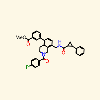 COC(=O)c1cccc(-c2ccc(CNC(=O)C3CC3c3ccccc3)c3c2CCN(C(=O)c2ccc(F)cc2)C3)c1